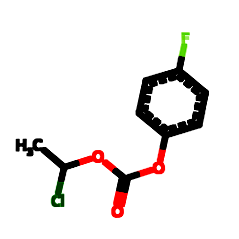 CC(Cl)OC(=O)Oc1ccc(F)cc1